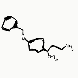 CC(CCN)c1ccc(OCc2ccccc2)cc1